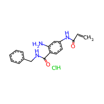 C=CC(=O)Nc1ccc(C(=O)NCc2ccccc2)c(N)c1.Cl